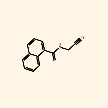 C#CCNC(=O)c1cccc2ccccc12